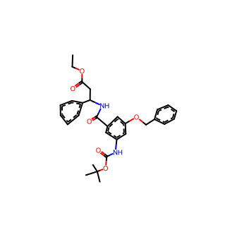 CCOC(=O)CC(NC(=O)c1cc(NC(=O)OC(C)(C)C)cc(OCc2ccccc2)c1)c1ccccc1